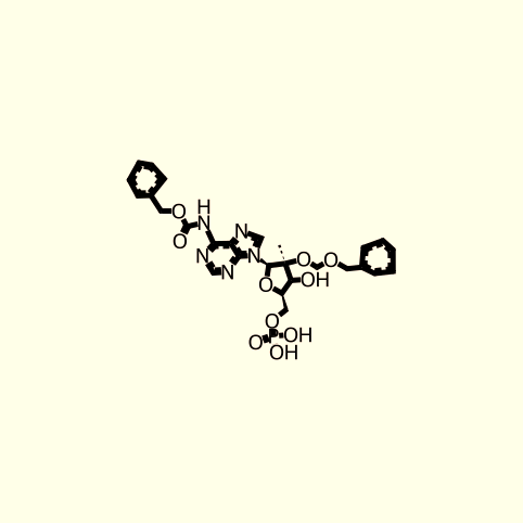 C[C@]1(OCOCc2ccccc2)C(O)[C@@H](COP(=O)(O)O)O[C@H]1n1cnc2c(NC(=O)OCc3ccccc3)ncnc21